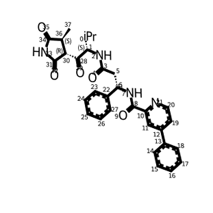 CC(C)[C@H](NC(=O)C[C@H](NC(=O)c1cc(-c2ccccc2)ccn1)c1ccccc1)C(=O)[C@@H]1C(=O)NC(=O)[C@H]1C